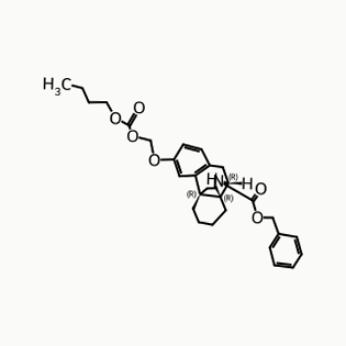 CCCCOC(=O)OCOc1ccc2c(c1)[C@@]13CCCC[C@H]1[C@@H](C2)N(C(=O)OCc1ccccc1)CC3